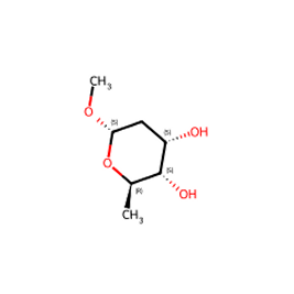 CO[C@@H]1C[C@H](O)[C@H](O)[C@@H](C)O1